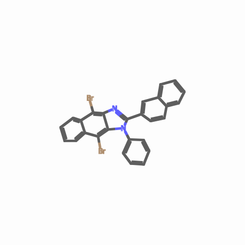 Brc1c2ccccc2c(Br)c2c1nc(-c1ccc3ccccc3c1)n2-c1ccccc1